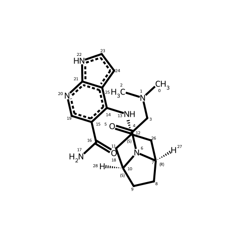 CN(C)CC(=O)N1[C@@H]2CC[C@H]1C[C@H](Nc1c(C(N)=O)cnc3[nH]ccc13)C2